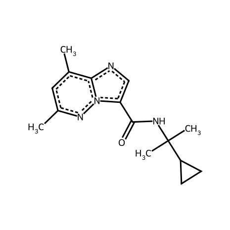 Cc1cc(C)c2ncc(C(=O)NC(C)(C)C3CC3)n2n1